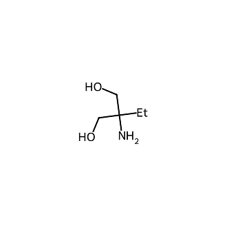 [CH2]CC(N)(CO)CO